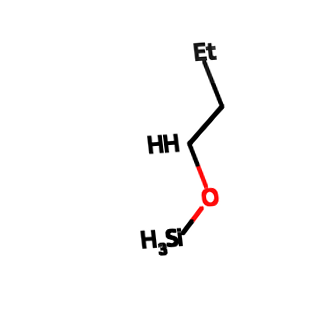 CCCCO[SiH3].[HH]